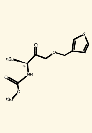 CCCC[C@H](NC(=O)OC(C)(C)C)C(=O)COCc1ccsc1